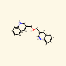 c1ccc2ncc(COCc3cnc4ccccc4c3)cc2c1